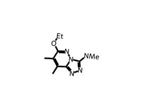 CCOc1nn2c(NC)nnc2c(C)c1C